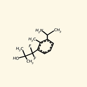 Cc1c(C(C)N)cccc1C(F)(F)C(C)(C)O